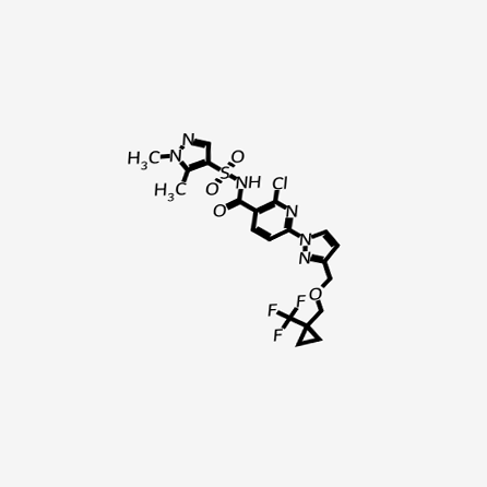 Cc1c(S(=O)(=O)NC(=O)c2ccc(-n3ccc(COCC4(C(F)(F)F)CC4)n3)nc2Cl)cnn1C